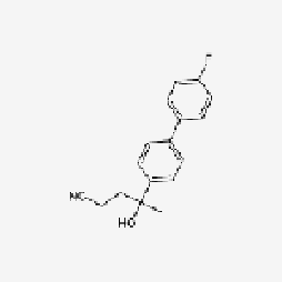 CC(O)(CCC#N)c1ccc(-c2ccc(F)cc2)cc1